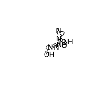 Cn1ccc2c(-c3ncc(Nc4ccc(N5CCC[C@H](C(C)(C)O)C5)cn4)c4c3CNC4=O)cccc21